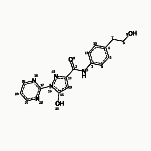 O=C(Nc1ccc(CCO)cc1)c1cc(O)n(-c2ncccn2)n1